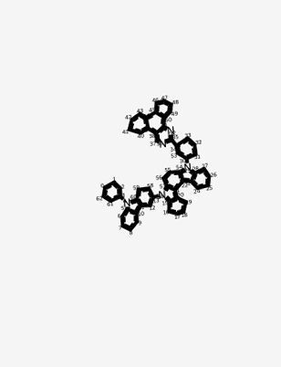 c1ccc(-n2c3ccccc3c3cc(-n4c5ccccc5c5c6c7ccccc7n(-c7cccc(-c8ncc9c%10ccccc%10c%10ccccc%10c9n8)c7)c6ccc54)ccc32)cc1